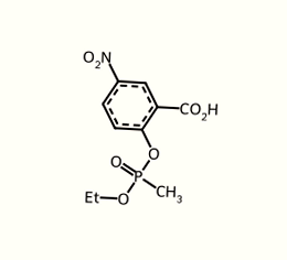 CCOP(C)(=O)Oc1ccc([N+](=O)[O-])cc1C(=O)O